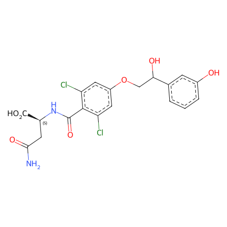 NC(=O)C[C@H](NC(=O)c1c(Cl)cc(OCC(O)c2cccc(O)c2)cc1Cl)C(=O)O